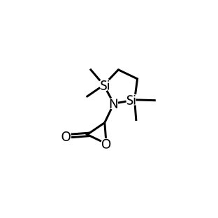 C[Si]1(C)CC[Si](C)(C)N1C1OC1=O